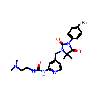 CN(C)CCNC(=O)Nc1cc(CN2C(=O)N(c3ccc(C(C)(C)C)cc3)C(=O)C2(C)C)ccn1